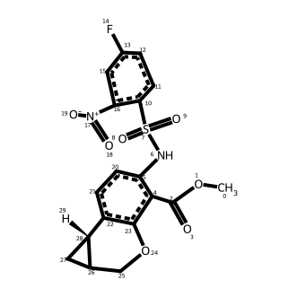 COC(=O)c1c(NS(=O)(=O)c2ccc(F)cc2[N+](=O)[O-])ccc2c1OCC1C[C@H]21